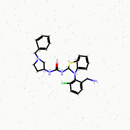 NCc1cccc(Cl)c1N1c2ccccc2SC1NC(=O)NC1CCN(Cc2ccccc2)C1